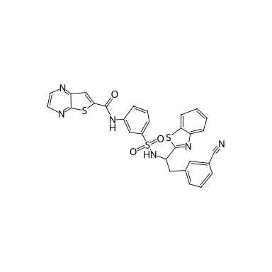 N#Cc1cccc(CC(NS(=O)(=O)c2cccc(NC(=O)c3cc4nccnc4s3)c2)c2nc3ccccc3s2)c1